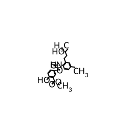 CCc1ccc(NS(=O)(=O)c2ccc(O)c(C(=O)OC)c2)c(CCC(O)CC)c1